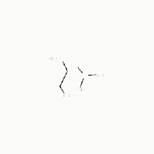 CCCCCCCCCCCC(=O)O.CC[CH2][Sn]([CH2]CC)[CH2]CC